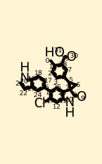 Cc1ccc(C2CC23C(=O)Nc2cc(Cl)c(-c4ccc5[nH]ccc5c4)cc23)cc1C(=O)O